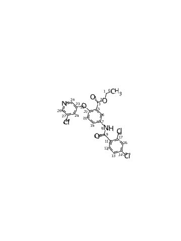 CCOC(=O)c1cc(NC(=O)c2ccc(Cl)cc2Cl)ccc1Oc1cncc(Cl)c1